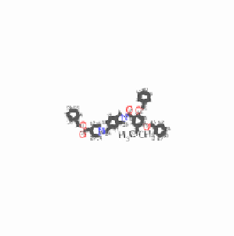 CC(C)c1cc(C(=O)N2Cc3ccc(CN4CCC(C(=O)OCc5ccccc5)CC4)cc3C2)c(OCc2ccccc2)cc1OCc1ccccc1